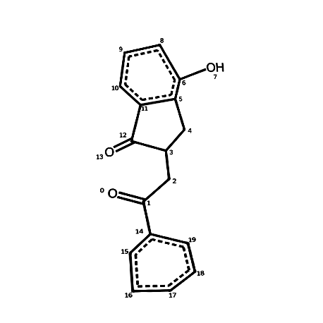 O=C(CC1Cc2c(O)cccc2C1=O)c1ccccc1